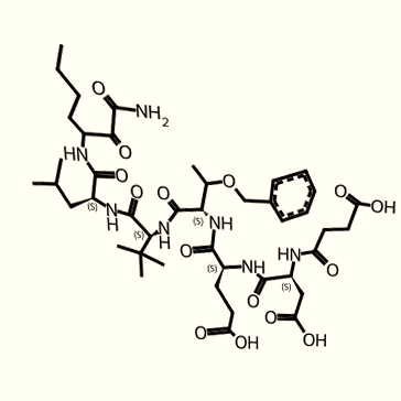 CCCCC(NC(=O)[C@H](CC(C)C)NC(=O)[C@@H](NC(=O)[C@@H](NC(=O)[C@H](CCC(=O)O)NC(=O)[C@H](CC(=O)O)NC(=O)CCC(=O)O)C(C)OCc1ccccc1)C(C)(C)C)C(=O)C(N)=O